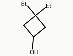 CCC1(CC)CC(O)C1